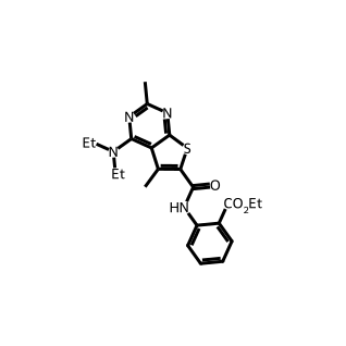 CCOC(=O)c1ccccc1NC(=O)c1sc2nc(C)nc(N(CC)CC)c2c1C